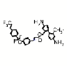 [CH2]c1cc(N)ccc1-c1ccc(N)cc1COC(=O)/C=C/c1ccc(OC(F)(F)c2ccc(CCC(F)(F)F)cc2)cc1